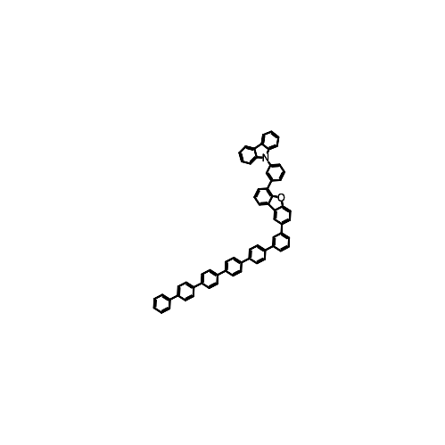 c1ccc(-c2ccc(-c3ccc(-c4ccc(-c5ccc(-c6cccc(-c7ccc8oc9c(-c%10cccc(-n%11c%12ccccc%12c%12ccccc%12%11)c%10)cccc9c8c7)c6)cc5)cc4)cc3)cc2)cc1